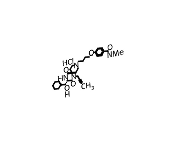 CC#CCN1C(=O)[C@@H](C(O)C2CCCCC2)NC(=O)C12CCN(CCCCOc1ccc(C(=O)NC)cc1)CC2.Cl